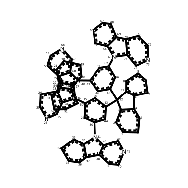 c1ccc2c(c1)-c1ccccc1C2(c1cc(-n2c3ccccc3c3ccncc32)cc(-n2c3ccccc3c3ccncc32)c1)c1cc(-n2c3ccccc3c3ccncc32)cc(-n2c3ccccc3c3ccncc32)c1